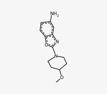 COC1CCN(c2nc3cc(N)ccc3o2)CC1